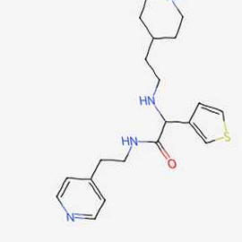 O=C(NCCc1ccncc1)C(NCCC1CCNCC1)c1ccsc1